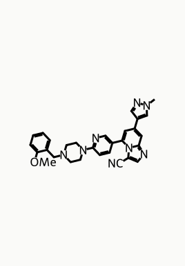 COc1ccccc1CN1CCN(c2ccc(-c3cc(-c4cnn(C)c4)cc4ncc(C#N)n34)cn2)CC1